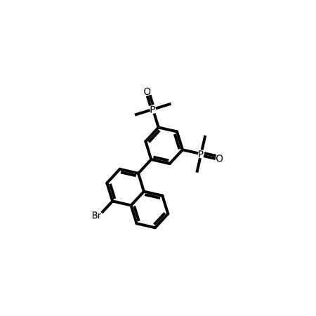 CP(C)(=O)c1cc(-c2ccc(Br)c3ccccc23)cc(P(C)(C)=O)c1